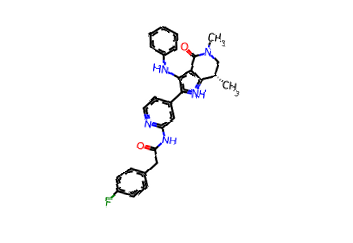 C[C@H]1CN(C)C(=O)c2c1[nH]c(-c1ccnc(NC(=O)Cc3ccc(F)cc3)c1)c2Nc1ccccc1